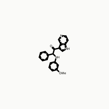 COc1cccc(NC(C(=O)c2c[nH]c3ccncc23)c2ccccc2)c1